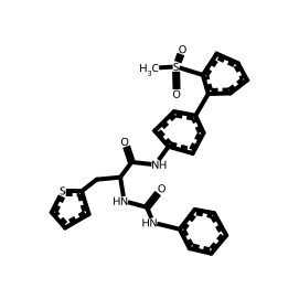 CS(=O)(=O)c1ccccc1-c1ccc(NC(=O)C(Cc2cccs2)NC(=O)Nc2ccccc2)cc1